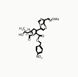 CON=Cc1ncn2c(C3=C(C(=O)OCc4ccc([N+](=O)[O-])cc4)N4C(=O)[C@H]([C@@H](C)O)[C@H]4C3)csc12